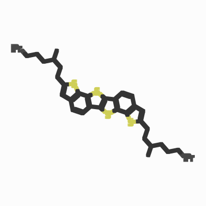 CC(C)CCCC(C)CCc1cc2ccc3c(sc4c5ccc6cc(CCC(C)CCCC(C)C)sc6c5sc34)c2s1